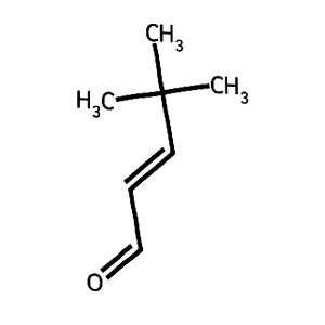 CC(C)(C)C=CC=O